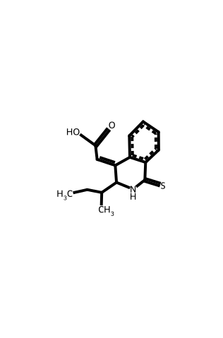 CCC(C)C1NC(=S)c2ccccc2C1=CC(=O)O